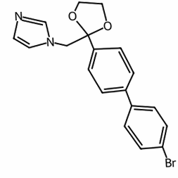 Brc1ccc(-c2ccc(C3(Cn4ccnc4)OCCO3)cc2)cc1